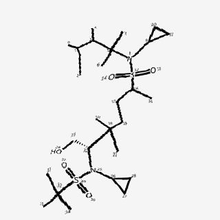 CC(C)C(C)C(C)(C)N(C1CC1)S(=O)(=O)C(C)CCC(C)(C)[C@@H](CO)N(C1CC1)S(=O)(=O)C(C)(C)C